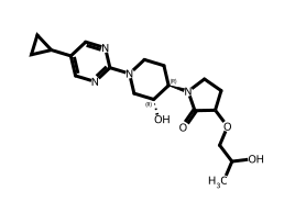 CC(O)COC1CCN([C@@H]2CCN(c3ncc(C4CC4)cn3)C[C@H]2O)C1=O